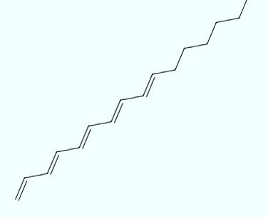 [CH2]CCCCCC=CC=CC=CC=CC=C